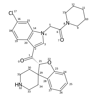 O=C(c1cn(CC(=O)N2CCCCC2)c2cc(Cl)ccc12)[C@@H]1Oc2ccccc2C12CCNCC2